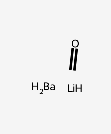 C=O.[BaH2].[LiH]